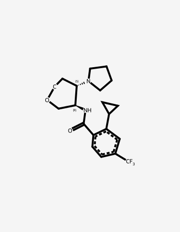 O=C(N[C@H]1COCC[C@@H]1N1CCCC1)c1ccc(C(F)(F)F)cc1C1CC1